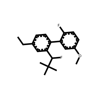 CCc1ccc(-c2cc(OC)ccc2F)c(C(F)C(C)(C)C)c1